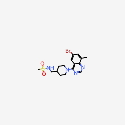 Cc1cc(Br)cc2c(N3CCC(CNS(C)(=O)=O)CC3)ncnc12